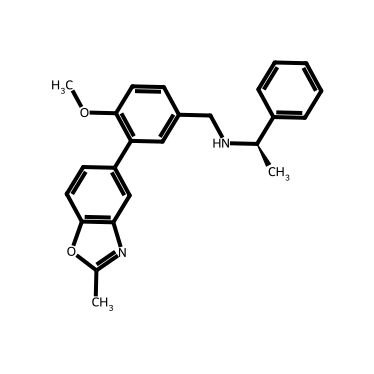 COc1ccc(CN[C@H](C)c2ccccc2)cc1-c1ccc2oc(C)nc2c1